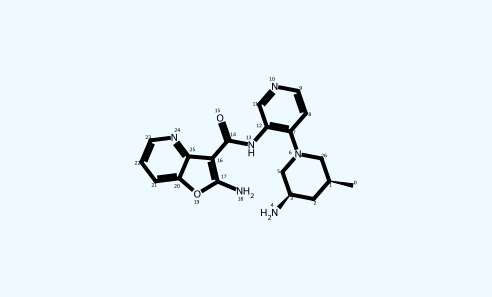 C[C@H]1C[C@@H](N)CN(c2ccncc2NC(=O)c2c(N)oc3cccnc23)C1